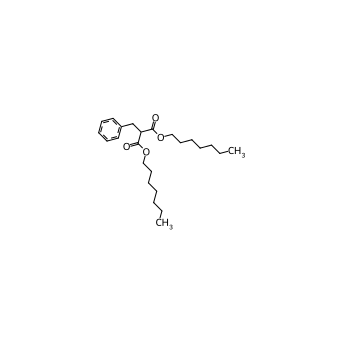 CCCCCCCOC(=O)C(Cc1ccccc1)C(=O)OCCCCCCC